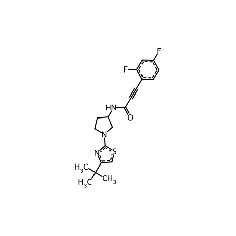 CC(C)(C)c1csc(N2CCC(NC(=O)C#Cc3ccc(F)cc3F)C2)n1